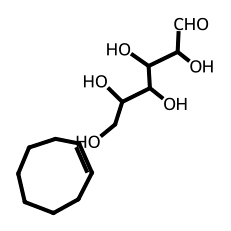 C1=CCCCCCC1.O=CC(O)C(O)C(O)C(O)CO